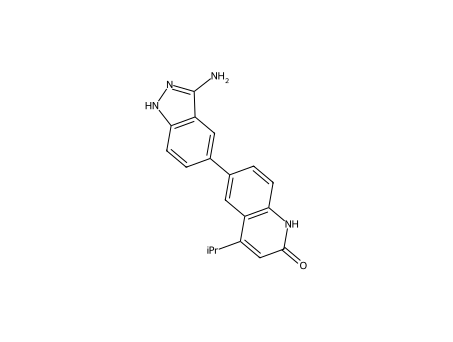 CC(C)c1cc(=O)[nH]c2ccc(-c3ccc4[nH]nc(N)c4c3)cc12